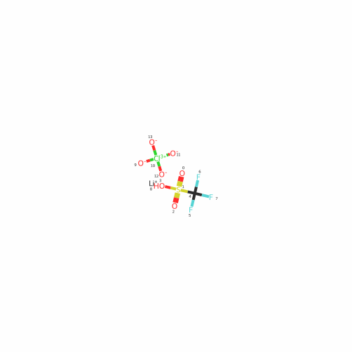 O=S(=O)(O)C(F)(F)F.[Li+].[O-][Cl+3]([O-])([O-])[O-]